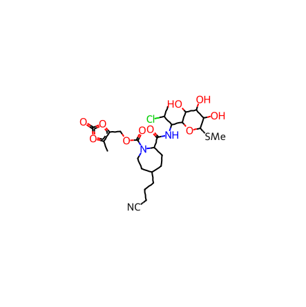 CSC1OC(C(NC(=O)C2CCC(CCCC#N)CCN2C(=O)OCc2oc(=O)oc2C)C(C)Cl)C(O)C(O)C1O